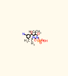 CCn1c(C(=O)c2cc(C)cc(C#N)c2)c(C(C)C)c(=O)n(CO[PH](=O)OO)c1=O